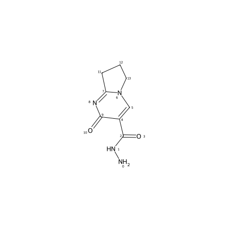 NNC(=O)c1cn2c(nc1=O)CCC2